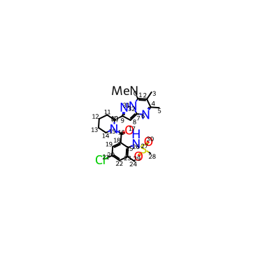 CNc1c(C)c(C)nc2cc([C@@H]3CCCCN3C(=O)c3cc(Cl)cc(C)c3NS(C)(=O)=O)nn12